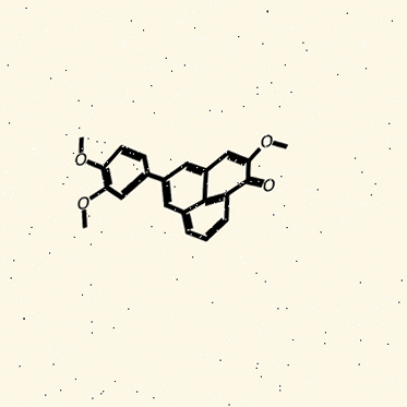 COC1=Cc2cc(-c3ccc(OC)c(OC)c3)cc3cccc(c23)C1=O